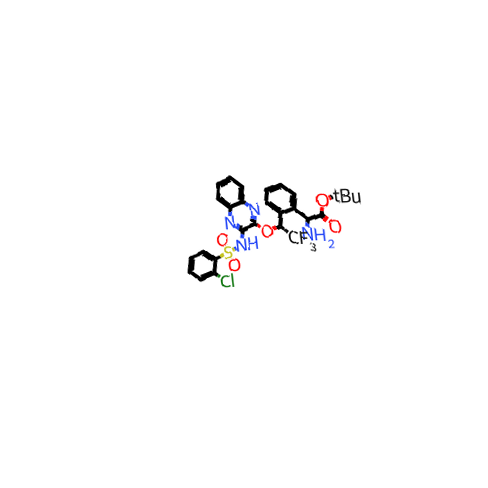 CC(C)(C)OC(=O)C(N)c1ccccc1C(Oc1nc2ccccc2nc1NS(=O)(=O)c1ccccc1Cl)C(F)(F)F